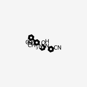 CS(=O)(=O)c1ccccc1-c1ccc(-n2cccc(Nc3cccc(C#N)c3)c2=O)cc1